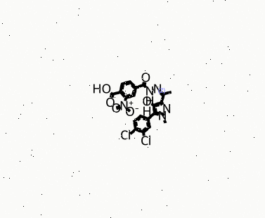 C/C(=N/NC(=O)c1ccc(C(=O)O)c([N+](=O)[O-])c1)c1nn(C)c(-c2ccc(Cl)c(Cl)c2)c1O